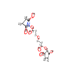 O=C(CCOCCC(=O)ON1C(=O)CCC1=O)OC1C(=O)CCC1=O